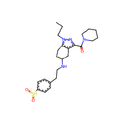 CCCn1nc(C(=O)N2CCCCC2)c2c1CCC(NCCc1ccc([SH](=O)=O)cc1)C2